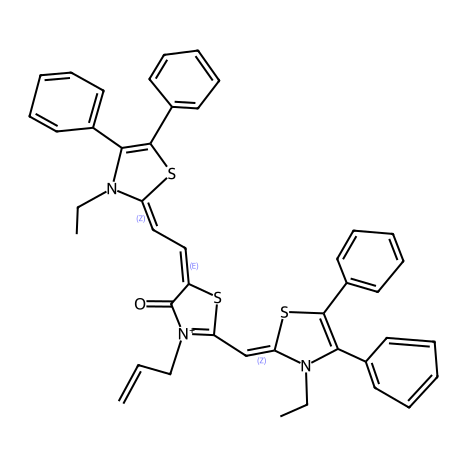 C=CC[N+]1=C(/C=C2\SC(c3ccccc3)=C(c3ccccc3)N2CC)S/C(=C/C=C2\SC(c3ccccc3)=C(c3ccccc3)N2CC)C1=O